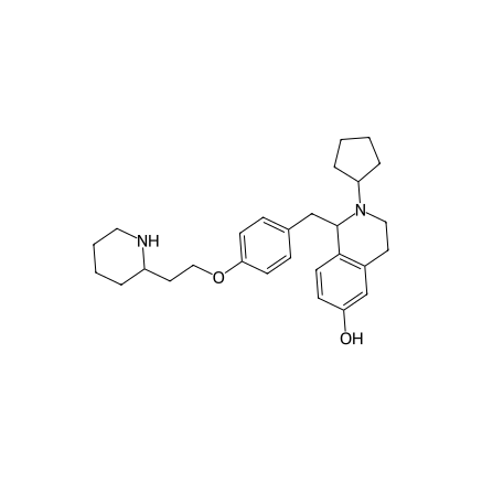 Oc1ccc2c(c1)CCN(C1CCCC1)C2Cc1ccc(OCCC2CCCCN2)cc1